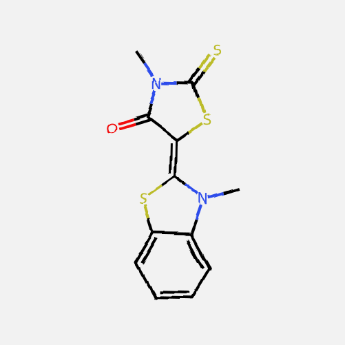 CN1C(=O)C(=C2Sc3ccccc3N2C)SC1=S